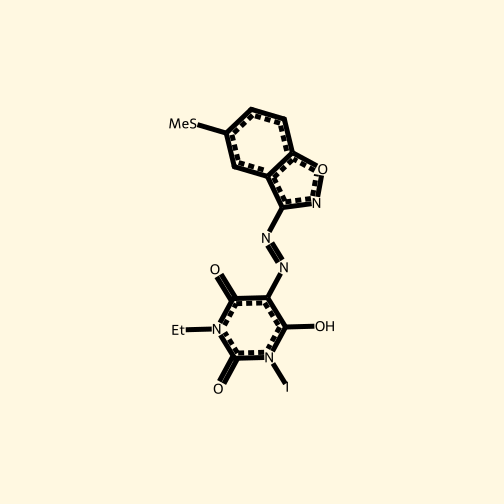 CCn1c(=O)c(N=Nc2noc3ccc(SC)cc23)c(O)n(I)c1=O